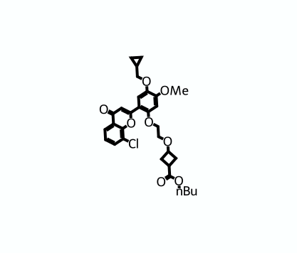 CCCCOC(=O)C1CC(OCCOc2cc(OC)c(OCC3CC3)cc2-c2cc(=O)c3cccc(Cl)c3o2)C1